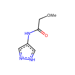 COCC(=O)Nc1cn[nH]c1